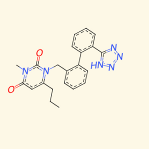 CCCc1cc(=O)n(C)c(=O)n1Cc1ccccc1-c1ccccc1-c1nnn[nH]1